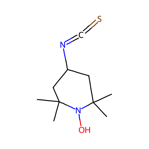 CC1(C)CC(N=C=S)CC(C)(C)N1O